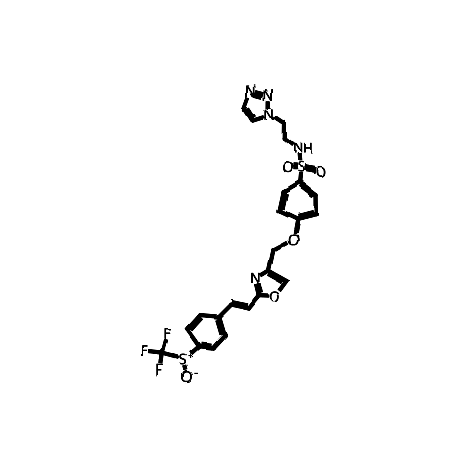 O=S(=O)(NCCn1ccnn1)c1ccc(OCc2coc(C=Cc3ccc([S+]([O-])C(F)(F)F)cc3)n2)cc1